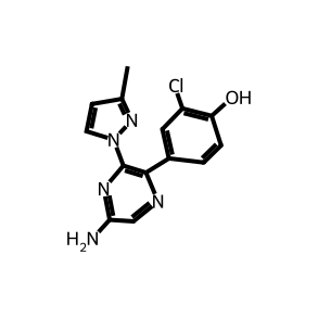 Cc1ccn(-c2nc(N)cnc2-c2ccc(O)c(Cl)c2)n1